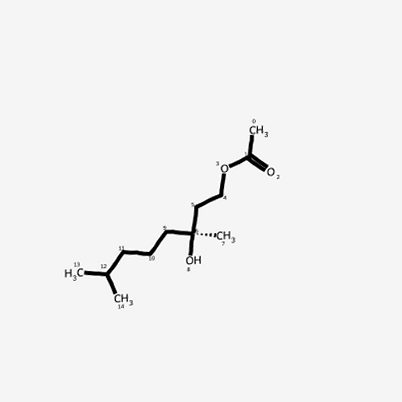 CC(=O)OCC[C@@](C)(O)CCCC(C)C